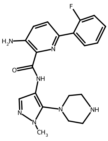 Cn1ncc(NC(=O)c2nc(-c3ccccc3F)ccc2N)c1N1CCNCC1